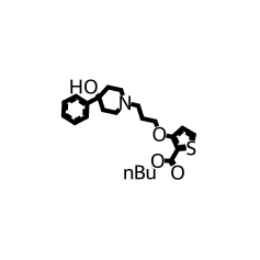 CCCCOC(=O)c1sccc1OCCCN1CCC(O)(c2ccccc2)CC1